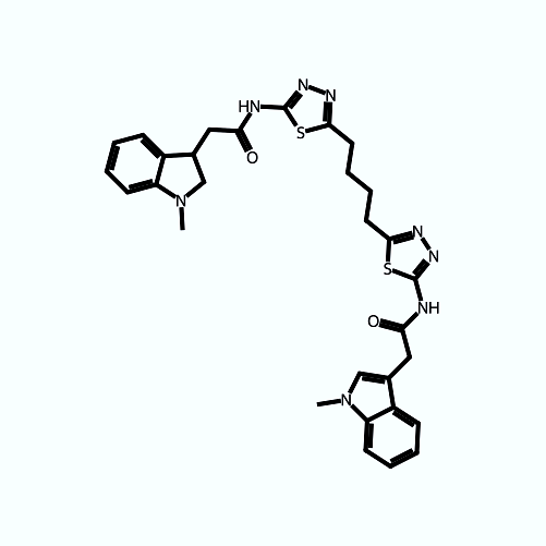 CN1CC(CC(=O)Nc2nnc(CCCCc3nnc(NC(=O)Cc4cn(C)c5ccccc45)s3)s2)c2ccccc21